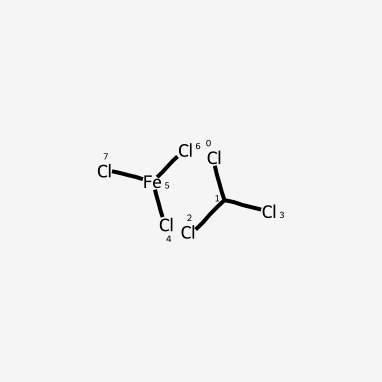 ClC(Cl)Cl.[Cl][Fe]([Cl])[Cl]